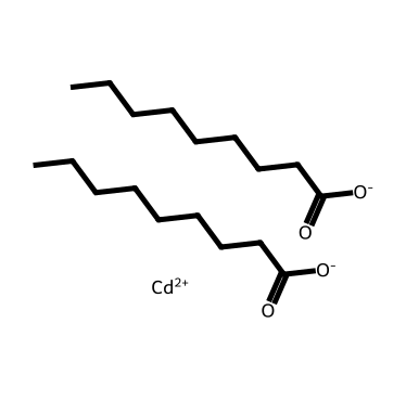 CCCCCCCCC(=O)[O-].CCCCCCCCC(=O)[O-].[Cd+2]